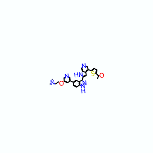 CC(=O)c1ccc(-c2cncc3[nH]c(-c4n[nH]c5ccc(-c6cncc(OCCN(C)C)c6)cc45)cc23)s1